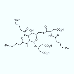 CCCCCCCCCCCCCC(=O)NC(CC(=O)O)C(=O)OC[C@H]1O[C@H](OC(CC(=O)O)CC(=O)O)[C@H](NC(=O)CCCCCCCCCCCCC)[C@@H](OC(=O)CCCCCCCCCCCCC)[C@@H]1O